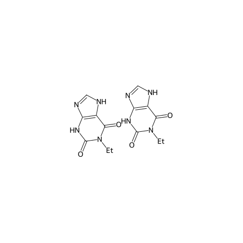 CCn1c(=O)[nH]c2nc[nH]c2c1=O.CCn1c(=O)[nH]c2nc[nH]c2c1=O